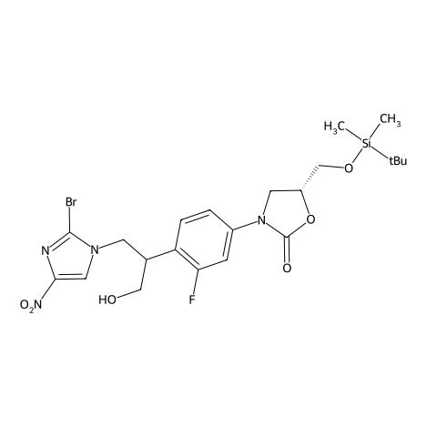 CC(C)(C)[Si](C)(C)OC[C@H]1CN(c2ccc(C(CO)Cn3cc([N+](=O)[O-])nc3Br)c(F)c2)C(=O)O1